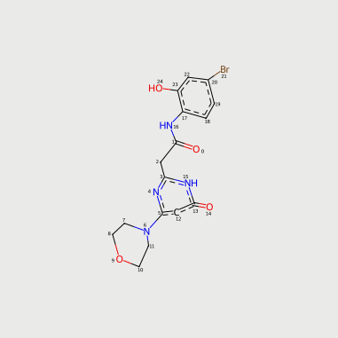 O=C(Cc1nc(N2CCOCC2)cc(=O)[nH]1)Nc1ccc(Br)cc1O